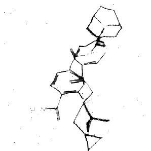 CC(C)CCC(=O)c1ccc(N2C3CCC2CC(NC(=O)c2ccc(C(N)=O)c(NCC4CC4)c2)C3)nc1